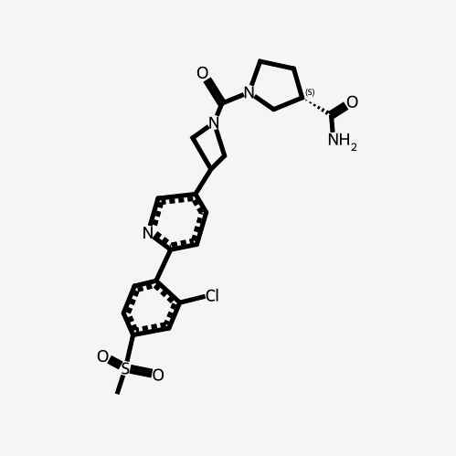 CS(=O)(=O)c1ccc(-c2ccc(C3CN(C(=O)N4CC[C@H](C(N)=O)C4)C3)cn2)c(Cl)c1